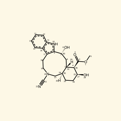 COC(=O)[C@@H]1[C@H]2C[C@@H](O)c3[nH]c4ccccc4c3CCN(C#N)C[C@@H]2CC[C@@H]1O